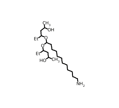 CCC(CC(C)O)OC(CCCCCCCCCCCN)OC(CC)CC(C)O